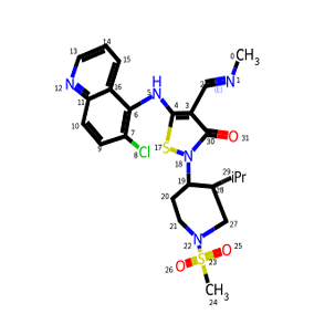 C/N=C/c1c(Nc2c(Cl)ccc3ncccc23)sn(C2CCN(S(C)(=O)=O)CC2C(C)C)c1=O